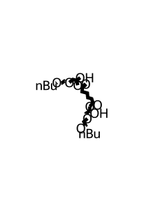 CCCCOCCOCC(O)OC(=O)CCCCC(=O)OC(O)COCCOCCCC